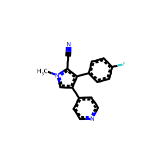 Cn1cc(-c2ccncc2)c(-c2ccc(F)cc2)c1C#N